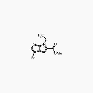 COC(=O)c1cc2c(Br)csc2n1CC(F)(F)F